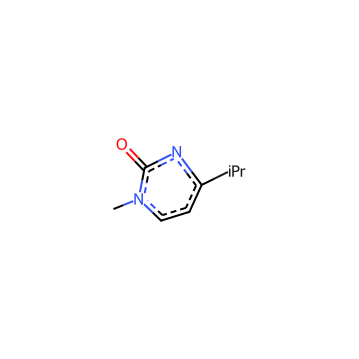 CC(C)c1ccn(C)c(=O)n1